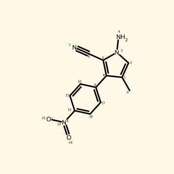 Cc1cn(N)c(C#N)c1-c1ccc([N+](=O)[O-])cc1